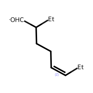 CC/C=C\CCC([C]=O)CC